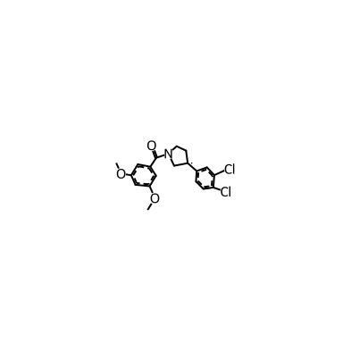 COc1cc(OC)cc(C(=O)N2CC[C](c3ccc(Cl)c(Cl)c3)C2)c1